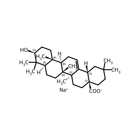 CC1(C)CC[C@]2(C(=O)[O-])CC[C@]3(C)C(=CC[C@@H]4[C@@]5(C)CC[C@H](O)C(C)(C)[C@@H]5CC[C@]43C)[C@@H]2C1.[Na+]